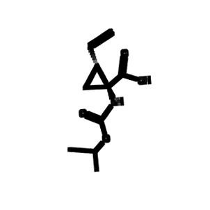 C=C[C@H]1C[C@@]1(NC(=O)OC(C)C)C(=O)O